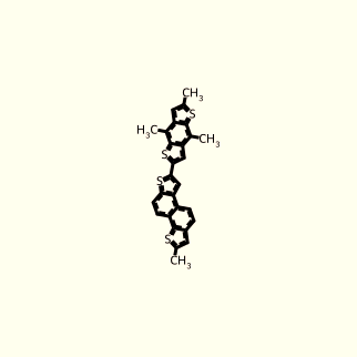 Cc1cc2c(C)c3sc(-c4cc5c(ccc6c5ccc5cc(C)sc56)s4)cc3c(C)c2s1